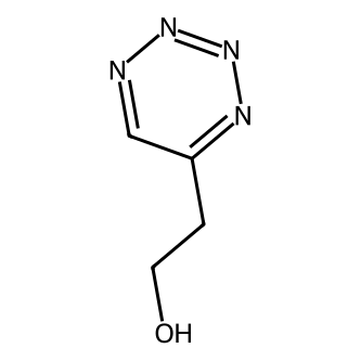 OCCc1cnnnn1